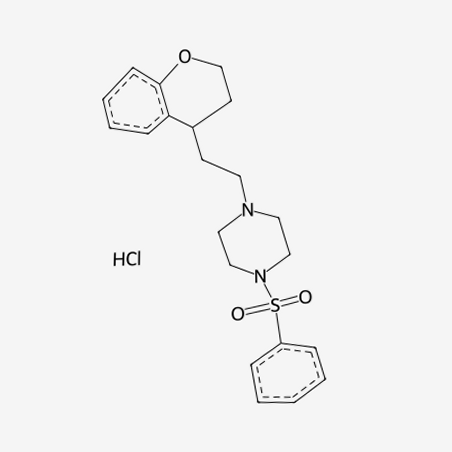 Cl.O=S(=O)(c1ccccc1)N1CCN(CCC2CCOc3ccccc32)CC1